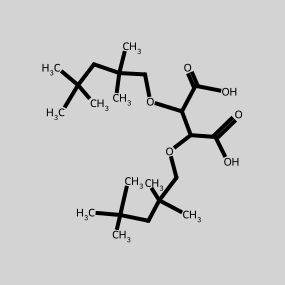 CC(C)(C)CC(C)(C)COC(C(=O)O)C(OCC(C)(C)CC(C)(C)C)C(=O)O